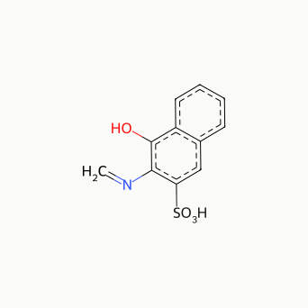 C=Nc1c(S(=O)(=O)O)cc2ccccc2c1O